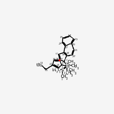 C[Si](C)=[Hf]([CH3])([CH3])([CH3])([CH3])([CH]1C=CC(CC(C)(C)C)=C1)[CH]1C=Cc2c1ccc1ccccc21